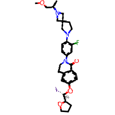 COCC(C)N1CC2(CCN(c3ccc(N4CCc5cc(O[C@@H](I)C6CCCO6)ccc5C4=O)cc3F)C2)C1